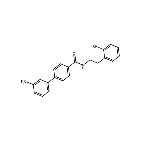 O=C(NCCc1ccccc1Cl)c1ccc(-c2cc(C(F)(F)F)ccn2)cc1